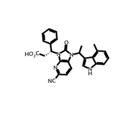 Cc1cccc2[nH]cc(C(C)n3c(=O)n([C@H](CC(=O)O)c4ccccc4)c4nc(C#N)ccc43)c12